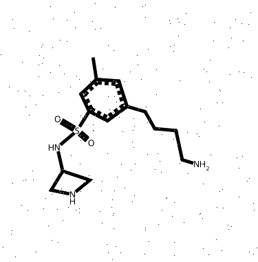 Cc1cc(CCCCN)cc(S(=O)(=O)NC2CNC2)c1